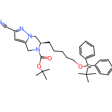 CC(C)(C)OC(=O)N1Cc2cc(C#N)nn2C[C@H]1CCCCCO[Si](c1ccccc1)(c1ccccc1)C(C)(C)C